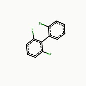 Fc1[c]cccc1-c1c(F)cccc1F